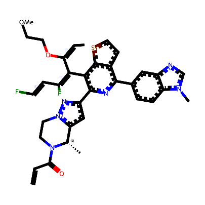 C=CC(=O)N1CCn2nc(-c3nc(-c4ccc5c(c4)ncn5C)c4ccsc4c3C(/C(=C\C)OCCOC)=C(F)/C=C/F)cc2[C@@H]1C